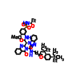 CCC(=O)NS(=O)(=O)c1ccc(OC)c(NC(=O)C(c2nc3ccccc3c(=O)n2C(=O)NCCCOc2ccc(C(C)(C)CC)cc2C(C)(C)CC)n2nnc3ccccc32)c1